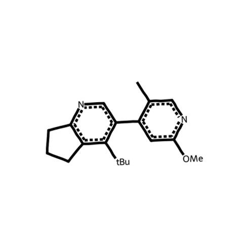 COc1cc(-c2cnc3c(c2C(C)(C)C)CCC3)c(C)cn1